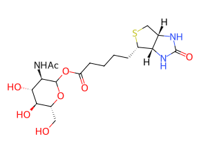 CC(=O)N[C@H]1C(OC(=O)CCCC[C@@H]2SC[C@@H]3NC(=O)N[C@@H]32)O[C@H](CO)[C@@H](O)[C@@H]1O